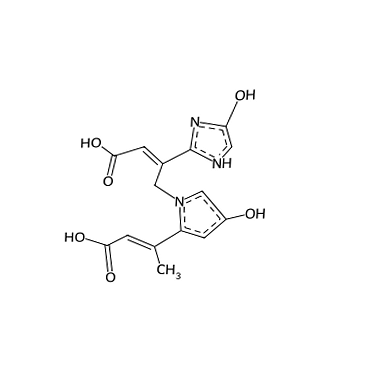 C/C(=C\C(=O)O)c1cc(O)cn1C/C(=C\C(=O)O)c1nc(O)c[nH]1